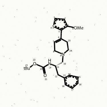 COc1ccsc1C1=CCN(C[C@H](Cc2ccccc2)NC(=O)OC(C)(C)C)CC1